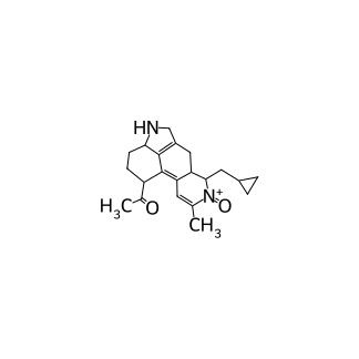 CC(=O)C1CCC2NCC3=C2C1=C1C=C(C)[N+](=O)C(CC2CC2)C1C3